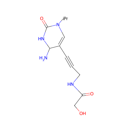 CC(C)N1C=C(C#CCNC(=O)CO)C(N)NC1=O